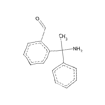 CC(N)(c1ccccc1)c1ccccc1C=O